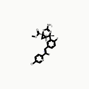 COC(=O)[C@]12C[C@H]1[C@@](C)(c1cc(/C=C(\F)c3ccc(Cl)cn3)ccc1F)N=C(N)S2